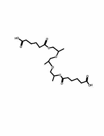 CC(COC(=O)CCCCC(=O)O)OCC(C)OCC(C)OC(=O)CCCCC(=O)O